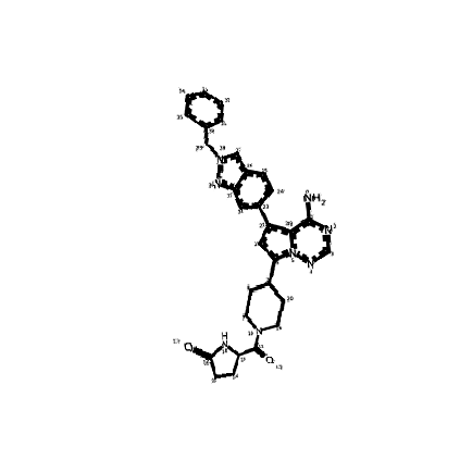 Nc1ncnn2c(C3CCN(C(=O)C4CCC(=O)N4)CC3)cc(-c3ccc4cn(Cc5ccccc5)nc4c3)c12